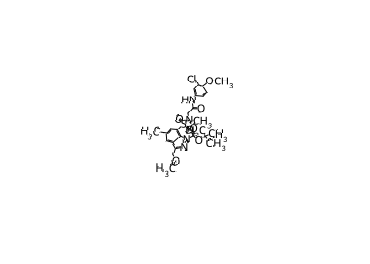 COCc1nn(C(=O)OC(C)(C)C)c2c(S(=O)(=O)N(C)CC(=O)Nc3ccc(OC)c(Cl)c3)cc(C)cc12